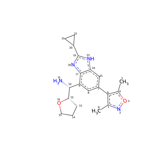 Cc1noc(C)c1-c1cc([C@@H](N)[C@@H]2CCCO2)c2nc(C3CC3)[nH]c2c1